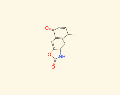 CC1C=CC(=O)C2=C1CC1NC(=O)OC1=C2